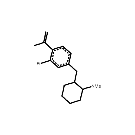 C=C(C)c1ccc(CC2CCCCC2NC)cc1CC